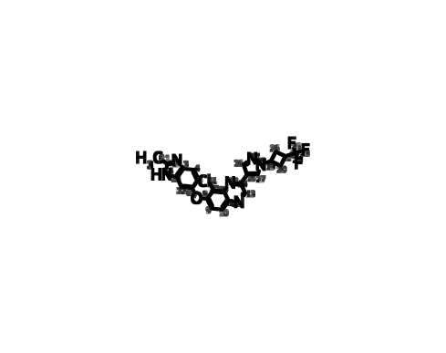 Cc1nc2ccc(Oc3ccc4ncc(-c5cnn(C6CC(C(F)(F)F)C6)c5)nc4c3Cl)cc2[nH]1